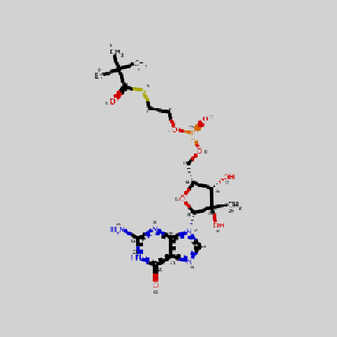 CCC(C)(C)C(=O)SCCO[PH](=O)OC[C@H]1O[C@@H](n2cnc3c(=O)[nH]c(N)nc32)C(C)(O)[C@H]1O